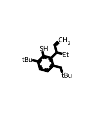 C=CC(CC)c1c(CC(C)(C)C)ccc(C(C)(C)C)c1S